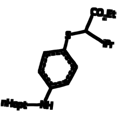 CCCCCCCNc1ccc(SC(C(=O)OCC)C(C)C)cc1